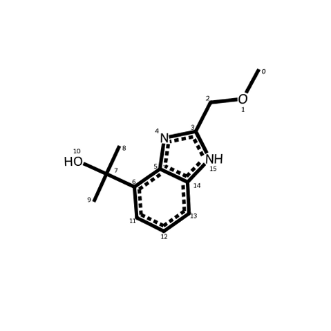 COCc1nc2c(C(C)(C)O)cccc2[nH]1